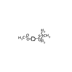 CC(=O)Oc1ccc(C(=O)SC(C)(C)C)cc1